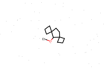 CCOC1C2(CCC2)CCC12CCC2